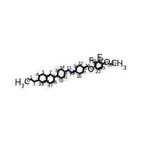 CCCC1CCC2CC(C3CCC(/C=C/C4CCC(COc5ccc(OCC)c(F)c5F)CC4)CC3)CCC2C1